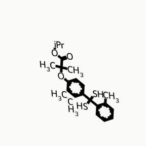 CC.Cc1ccccc1C(S)(S)c1ccc(OC(C)(C)C(=O)OC(C)C)cc1